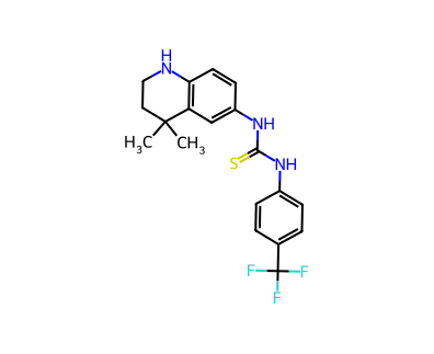 CC1(C)CCNc2ccc(NC(=S)Nc3ccc(C(F)(F)F)cc3)cc21